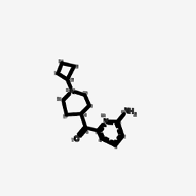 Nc1cccc(C(=O)C2CCN(C3CCC3)CC2)n1